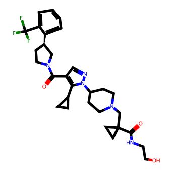 O=C(c1cnn(C2CCN(CC3(C(=O)NCCO)CC3)CC2)c1C1CC1)N1CC[C@@H](c2ccccc2C(F)(F)F)C1